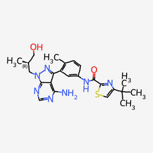 Cc1ccc(NC(=O)c2nc(C(C)(C)C)cs2)cc1-c1nn(C[C@@H](C)CO)c2ncnc(N)c12